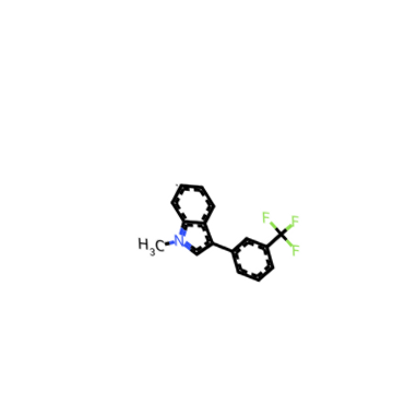 Cn1cc(-c2cccc(C(F)(F)F)c2)c2cc[c]cc21